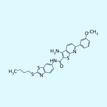 CCCCSc1nc2ccc(NC(=O)c3sc4nc(-c5cccc(OC)c5)ccc4c3N)cc2s1